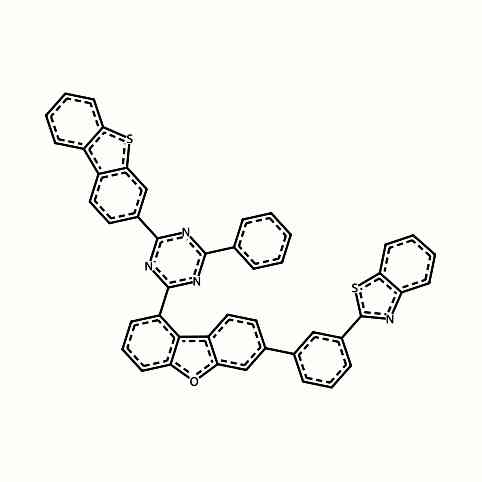 c1ccc(-c2nc(-c3ccc4c(c3)sc3ccccc34)nc(-c3cccc4oc5cc(-c6cccc(-c7nc8ccccc8s7)c6)ccc5c34)n2)cc1